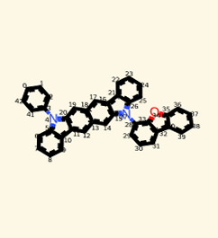 c1ccc(-n2c3ccccc3c3cc4cc5c(cc4cc32)c2ccccc2n5-c2cccc3c2oc2ccccc23)cc1